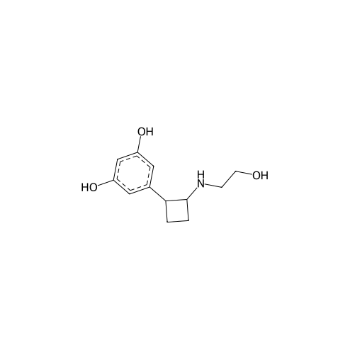 OCCNC1CCC1c1cc(O)cc(O)c1